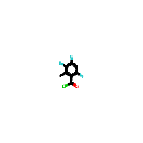 Cc1c(F)c(F)cc(F)c1C(=O)Cl